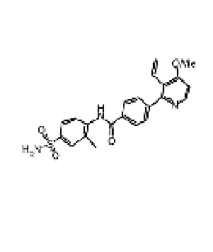 C=Cc1c(OC)ccnc1-c1ccc(C(=O)Nc2ccc(S(N)(=O)=O)cc2C)cc1